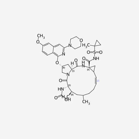 COc1ccc2c(O[C@@H]3C[C@H]4C(=O)N[C@]5(C(=O)NS(=O)(=O)C6(C)CC6)CC5/C=C\CCC(C)C[C@@H](C)[C@H](NC(=O)O)C(=O)N4C3)nc(N3CCOCC3)cc2c1